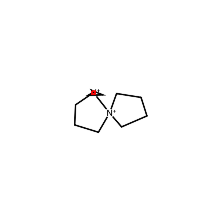 C1CC[N+]2(C1)CCC[N+]21CCCC1